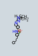 CC(C)(C)c1cnc(CN2CCc3cc([S+]([O-])Nc4ccc(CCCC5CCCC5)cc4F)ccc3C2)cn1